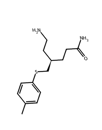 Cc1ccc(SC[C@@H](CCN)CCC(N)=O)cc1